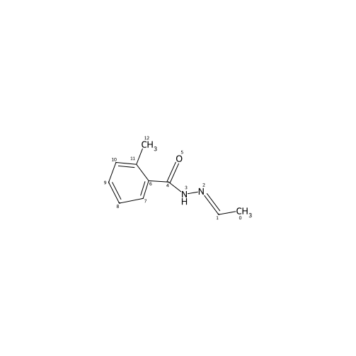 C/C=N/NC(=O)c1ccccc1C